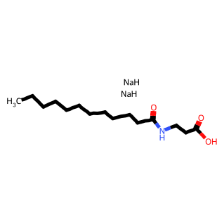 CCCCCCCCCCCC(=O)NCCC(=O)O.[NaH].[NaH]